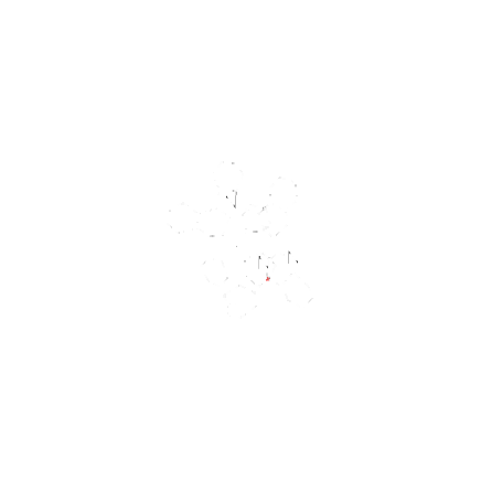 c1ccc(-c2nc(-c3cc(-n4c5ccccc5c5c6ccccc6c6c(c54)C4(c5ccccc5-c5ccccc54)c4ccccc4-6)c4ccccc4c3)nc3ccccc23)cc1